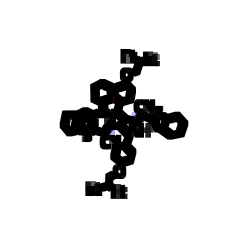 CCC(CC)COc1ccc(-c2[nH]/c(=C(/C#N)c3nc4ccccc4s3)c3c(-c4ccc(OCC(CC)CC)cc4)n(B(c4ccccc4)c4ccccc4)/c(=C(/C#N)c4nc5ccccc5s4)c23)cc1